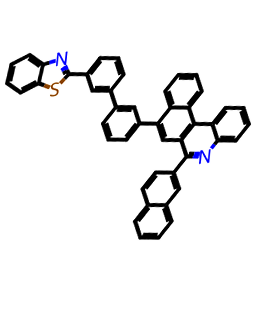 c1cc(-c2cccc(-c3cc4c(-c5ccc6ccccc6c5)nc5ccccc5c4c4ccccc34)c2)cc(-c2nc3ccccc3s2)c1